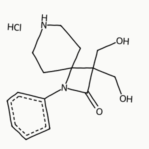 Cl.O=C1N(c2ccccc2)C2(CCNCC2)C1(CO)CO